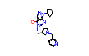 C[C@@H]1CN(Cc2cccnc2)C[C@H]1c1nc2c(cnn2C2CCCC2)c(=O)[nH]1